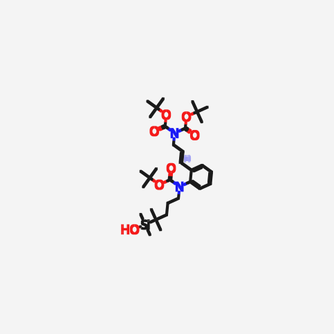 CC(C)(C)OC(=O)N(C/C=C/c1ccccc1N(CCCC(C)(C)[Si](C)(C)O)C(=O)OC(C)(C)C)C(=O)OC(C)(C)C